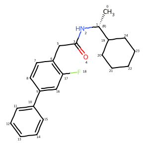 C[C@@H](NC(=O)Cc1ccc(-c2ccccc2)cc1F)C1CCCCC1